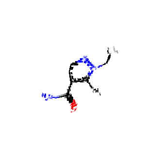 CCn1ncc(C(N)=O)c1C